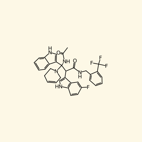 CC(=O)NC(c1c[nH]c2ccccc12)(C(C(=O)NCc1ccccc1C(F)(F)F)c1c[nH]c2ccc(F)cc12)N1CC=CCC1